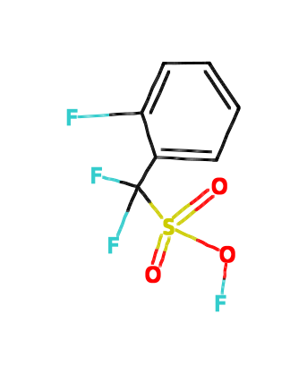 O=S(=O)(OF)C(F)(F)c1ccccc1F